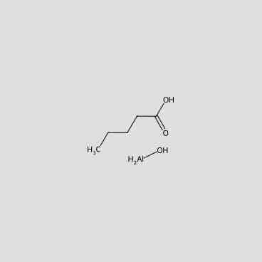 CCCCC(=O)O.[OH][AlH2]